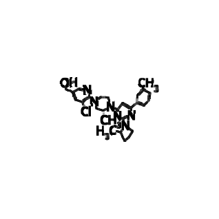 Cc1cccc(-c2cc(N3CCN(c4ncc(CO)cc4Cl)C[C@H]3C)nc(N3CCCC3C)n2)c1